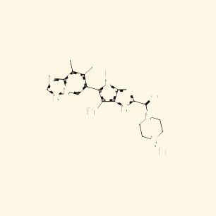 Cc1c(-c2[nH]c3sc(C(=O)N4CCN(C(C)C)CC4)nc3c2C(C)C)cn2ncnc2c1C